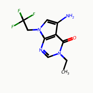 CCn1cnc2c(c(N)cn2CC(F)(F)F)c1=O